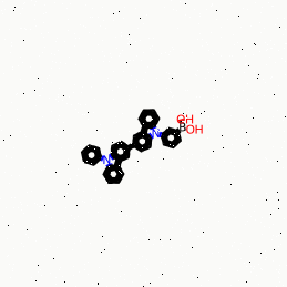 OB(O)c1cccc(-n2c3ccccc3c3cc(-c4ccc5c(c4)c4ccccc4n5-c4ccccc4)ccc32)c1